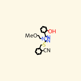 COCCn1c(SCc2ccccc2C#N)nnc1-c1ccccc1O